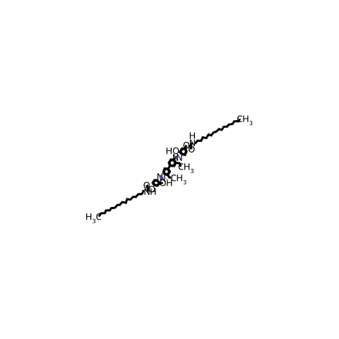 CCCCCCCCCCCCCCCCCCNC(=O)Oc1ccc(/N=N/c2ccc(-c3ccc(/N=N/c4ccc(OC(=O)NCCCCCCCCCCCCCCCCCC)cc4O)c(CC)c3)cc2CC)c(O)c1